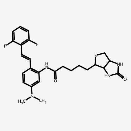 CN(C)c1ccc(/C=C/c2c(F)cccc2F)c(NC(=O)CCCCC2SCC3NC(=O)NC32)c1